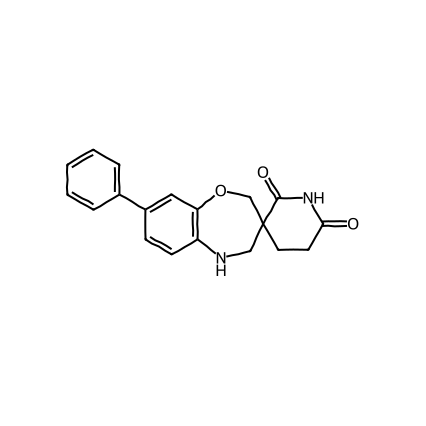 O=C1CCC2(CNc3ccc(-c4ccccc4)cc3OC2)C(=O)N1